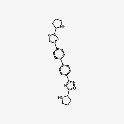 c1cc(-c2csc(C3CCCN3)n2)ccc1-c1ccc(-c2noc(C3CCCN3)n2)cc1